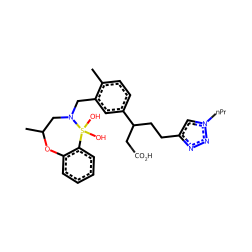 CCCn1cc(CCC(CC(=O)O)c2ccc(C)c(CN3CC(C)Oc4ccccc4S3(O)O)c2)nn1